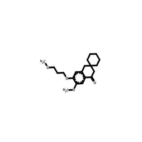 COCCCOc1cc2c(cc1OC)C(=O)CC1(CCCCC1)C2